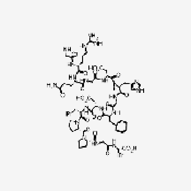 CC(C)C[C@H](NC(=O)[C@H](CC(=O)O)NC(=O)[C@H](Cc1ccccc1)NC(=O)CNC(=O)[C@H](Cc1c[nH]cn1)NC(=O)[C@H](CC(=O)O)NC(=O)CNC(=O)[C@H](CCC(N)=O)NC(=O)[C@H](CCCNC(=N)N)NC(=O)CN)C(=O)N1CCC[C@H]1C(=O)N1CCC[C@H]1C(=O)NCC(=O)N[C@H](C(=O)O)C(C)C